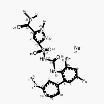 CC(C)Oc1cc(-c2cc(F)cc(C(C)C)c2NC(=O)NS(=O)(=O)c2cc(C(=O)N(C)C)n(C)n2)ccn1.[Na]